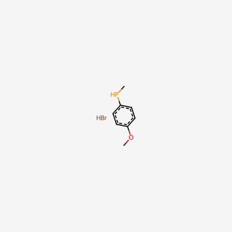 Br.COc1ccc(PC)cc1